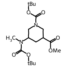 COC(=O)C1CC(N(C)C(=O)OC(C)(C)C)CN(C(=O)OC(C)(C)C)C1